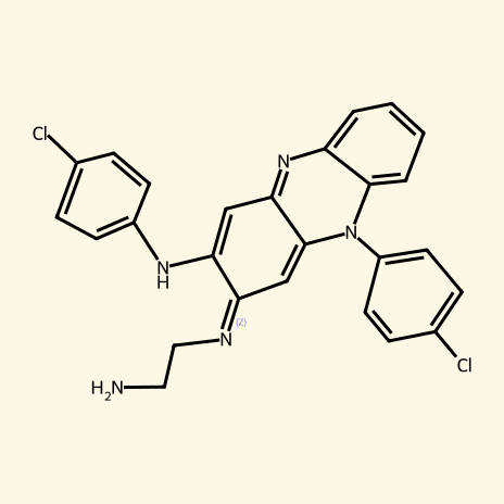 NCC/N=c1/cc2n(-c3ccc(Cl)cc3)c3ccccc3nc-2cc1Nc1ccc(Cl)cc1